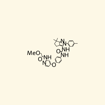 COCC(=O)Nc1cc(Oc2ccc(NC(=O)Nc3c4c(nn3-c3ccc(C)cc3)C(C)(C)CC4)cc2)ccn1